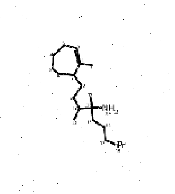 CC1=CCCCCC1CCC(C)C(C)(N)CCCC(C)C